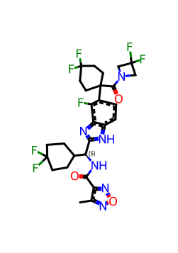 Cc1nonc1C(=O)N[C@H](c1nc2c(F)c(C3(C(=O)N4CC(F)(F)C4)CCC(F)(F)CC3)ccc2[nH]1)C1CCC(F)(F)CC1